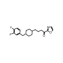 O=C(CCCC1CCN(Cc2ccc(F)c(F)c2)CC1)c1ncco1